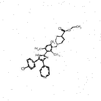 CCOC(=O)C1CCN(Cc2c(C)cc(C)c(-c3nc(-c4ccncc4)c(-c4ccc(Cl)cc4)[nH]3)c2C)CC1